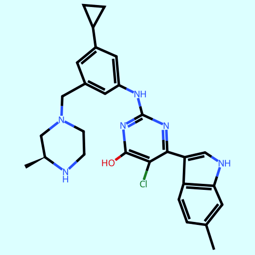 Cc1ccc2c(-c3nc(Nc4cc(CN5CCN[C@@H](C)C5)cc(C5CC5)c4)nc(O)c3Cl)c[nH]c2c1